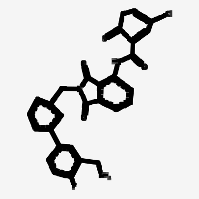 NCc1cc(-c2cccc(CN3C(=O)c4cccc(NC(=O)C5=CC(Cl)=CCC5=S)c4C3=O)c2)ccc1F